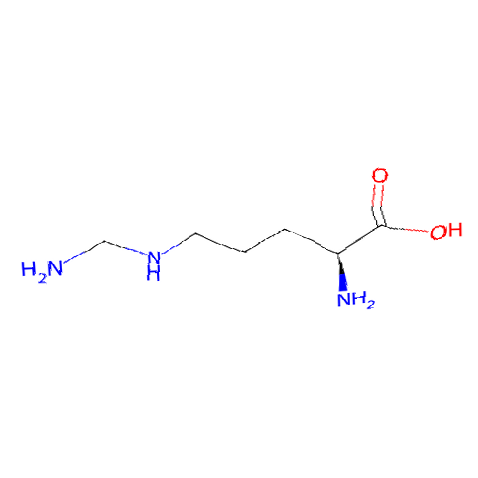 NCNCCC[C@H](N)C(=O)O